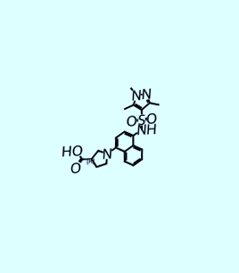 Cc1nn(C)c(C)c1S(=O)(=O)Nc1ccc(N2CC[C@@H](C(=O)O)C2)c2ccccc12